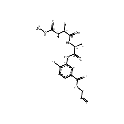 C=CCOC(=O)c1ccc(F)c(NC(=O)[C@H](C)NC(=O)[C@H](C)NC(=O)OC(C)(C)C)c1